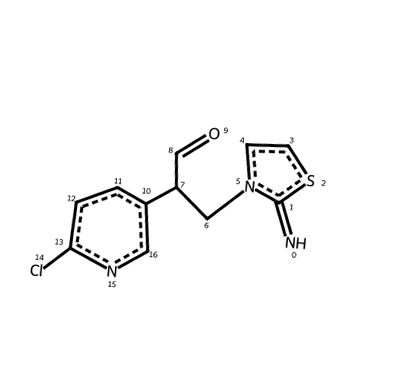 N=c1sccn1CC(C=O)c1ccc(Cl)nc1